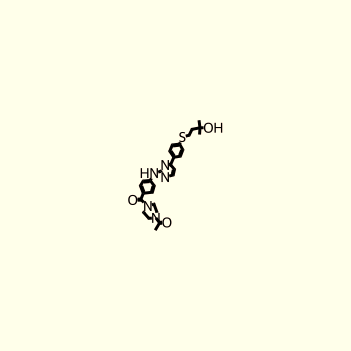 CC(=O)N1CCN(C(=O)c2ccc(Nc3nccc(-c4ccc(SCCC(C)(C)O)cc4)n3)cc2)CC1